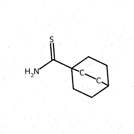 NC(=S)C12CCC(CC1)CC2